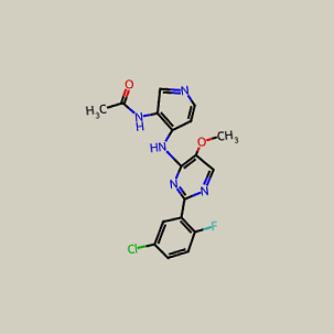 COc1cnc(-c2cc(Cl)ccc2F)nc1Nc1ccncc1NC(C)=O